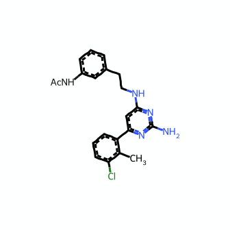 CC(=O)Nc1cccc(CCNc2cc(-c3cccc(Cl)c3C)nc(N)n2)c1